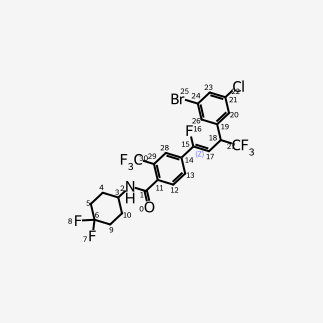 O=C(NC1CCC(F)(F)CC1)c1ccc(/C(F)=C/C(c2cc(Cl)cc(Br)c2)C(F)(F)F)cc1C(F)(F)F